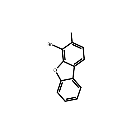 Brc1c(I)ccc2c1oc1ccccc12